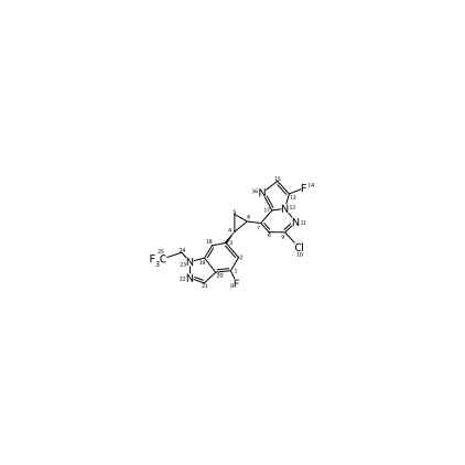 Fc1cc([C@H]2CC2c2cc(Cl)nn3c(F)cnc23)cc2c1cnn2CC(F)(F)F